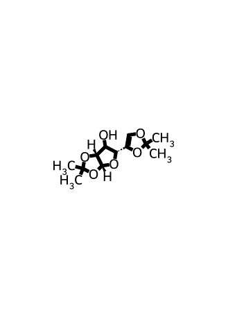 CC1(C)OC=C([C@@H]2O[C@@H]3OC(C)(C)O[C@@H]3C2O)O1